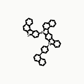 c1ccc2c(-c3ccc(-n4c5ccccc5c5cc6c7c8ccccc8ccc7n(-c7ccc8sc9ccc%10ccccc%10c9c8c7)c6cc54)cc3)cccc2c1